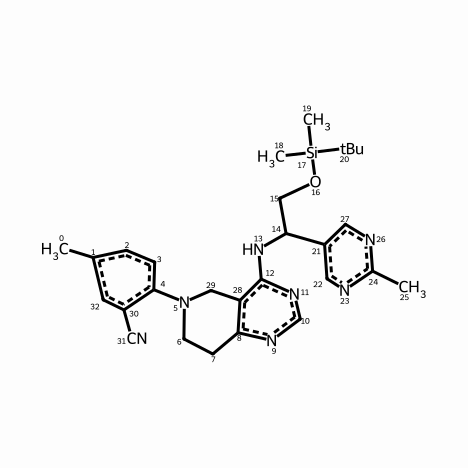 Cc1ccc(N2CCc3ncnc(NC(CO[Si](C)(C)C(C)(C)C)c4cnc(C)nc4)c3C2)c(C#N)c1